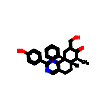 C[C@@H]1C(=O)C(=CO)C[C@]2(c3ccccc3)c3nc(-c4ccc(O)cc4)ncc3CC[C@@H]12